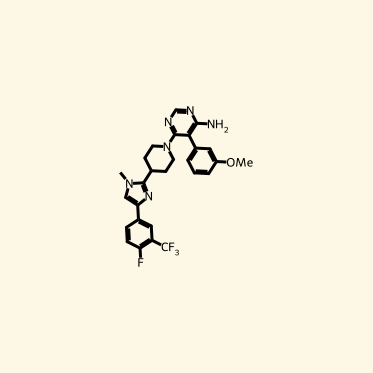 COc1cccc(-c2c(N)ncnc2N2CCC(c3nc(-c4ccc(F)c(C(F)(F)F)c4)cn3C)CC2)c1